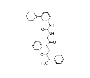 CN(C(=O)CN(C(=O)CNC(=O)Nc1cccc(N2CCCCC2)c1)c1ccccc1)c1ccccc1